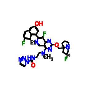 CCc1c(F)ccc2cc(O)cc(-c3ncc4c(N(C)CCNC(=O)n5ccnn5)nc(OC[C@@]56CCCN5C[C@H](F)C6)nc4c3F)c12